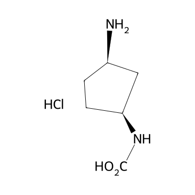 Cl.N[C@@H]1CC[C@H](NC(=O)O)C1